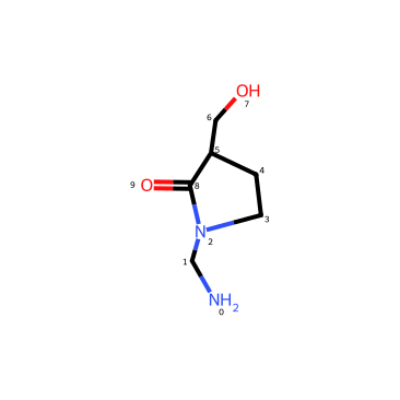 NCN1CCC(CO)C1=O